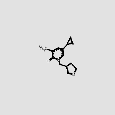 Cc1cc(C2CC2)cn(CC2CCOC2)c1=O